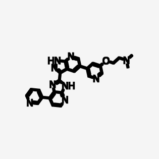 CN(C)CCOc1cncc(-c2cnc3[nH]nc(-c4nc5c(-c6cccnc6)ccnc5[nH]4)c3c2)c1